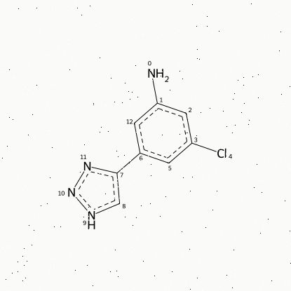 Nc1cc(Cl)cc(-c2c[nH]nn2)c1